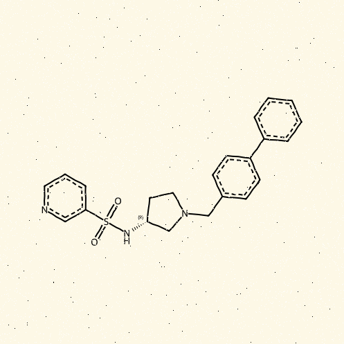 O=S(=O)(N[C@@H]1CCN(Cc2ccc(-c3ccccc3)cc2)C1)c1cccnc1